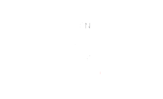 CC(=C=O)C#N